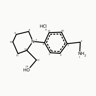 Cl.NCc1ccc(N2CCCCC2CO)cc1